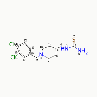 NC(=S)NCC1CCN(Cc2ccc(Cl)c(Cl)c2)CC1